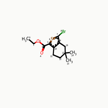 CCOC(=O)c1sc(Br)c2c1CCC(C)(C)C2